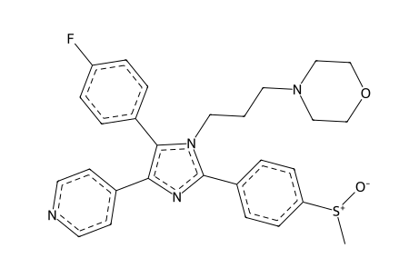 C[S+]([O-])c1ccc(-c2nc(-c3ccncc3)c(-c3ccc(F)cc3)n2CCCN2CCOCC2)cc1